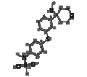 COC1(c2cccc(Sc3ccc(N(C)S(C)(=O)=O)cc3)c2)CCOCC1